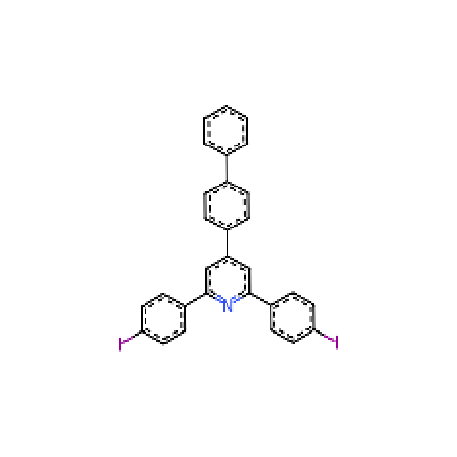 Ic1ccc(-c2cc(-c3ccc(-c4ccccc4)cc3)cc(-c3ccc(I)cc3)n2)cc1